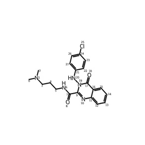 CN(C)CCCNC(=O)c1nc2ccccc2c(=O)n1Nc1ccc(Cl)cc1